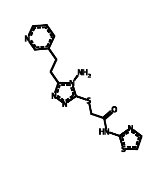 Nn1c(CCc2cccnc2)nnc1SCC(=O)Nc1nccs1